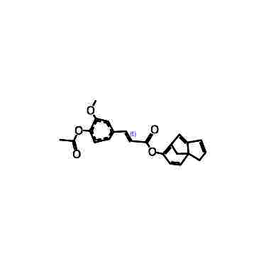 COc1cc(/C=C/C(=O)OC2=C3C=C4C=CCC4(C=C2)C3)ccc1OC(C)=O